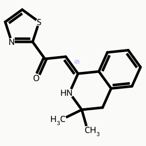 CC1(C)Cc2ccccc2/C(=C/C(=O)c2nccs2)N1